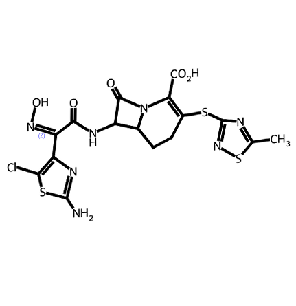 Cc1nc(SC2=C(C(=O)O)N3C(=O)C(NC(=O)/C(=N\O)c4nc(N)sc4Cl)C3CC2)ns1